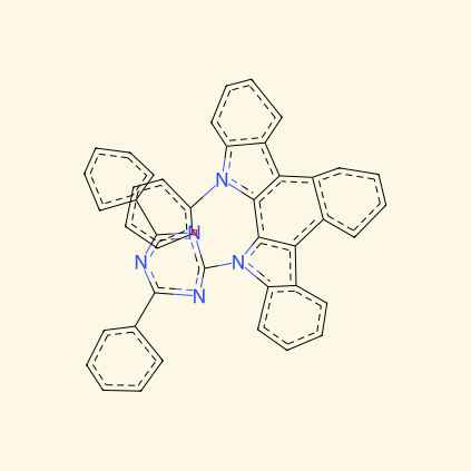 c1ccc(-c2nc(-c3ccccc3)nc(-n3c4ccccc4c4c5ccccc5c5c6ccccc6n(-c6ccccc6)c5c43)n2)cc1